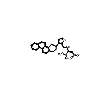 CN(C)C(=C[N+](=O)[O-])NCc1occc1C1CCc2ccc3c(ccc4ccccc43)c2C1